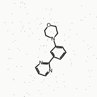 c1cnc(-c2cccc(N3CCOCC3)c2)nc1